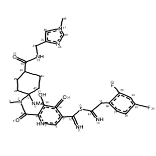 CNC1(N(C)C(=O)c2[nH]cc(C(=N)SC(=N)Cc3ccc(F)cc3F)c(=O)c2O)CCC(C(=O)NCc2cn(C)cn2)CC1